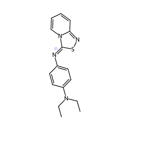 CCN(CC)c1ccc(/N=c2\snc3ccccn23)cc1